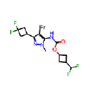 CC(C)c1c(C2CC(F)(F)C2)nn(C)c1NC(=O)OC1CC(C(F)F)C1